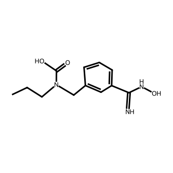 CCCN(Cc1cccc(C(=N)NO)c1)C(=O)O